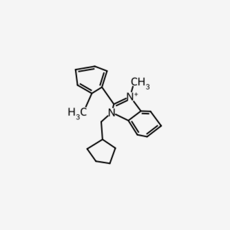 Cc1ccccc1-c1n(CC2CCCC2)c2ccccc2[n+]1C